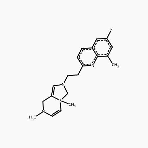 Cc1cc(F)cc2ccc(CCN3C=C4CN(C)C=CS4(C)C3)nc12